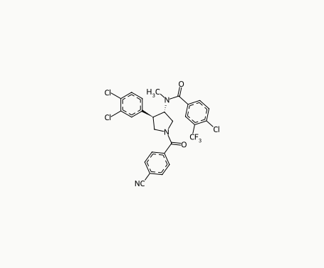 CN(C(=O)c1ccc(Cl)c(C(F)(F)F)c1)[C@@H]1CN(C(=O)c2ccc(C#N)cc2)C[C@H]1c1ccc(Cl)c(Cl)c1